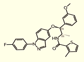 COc1cccc([C@H](Oc2ccc3c(cnn3-c3ccc(F)cc3)c2)[C@H](C)NC(=O)c2sccc2C)c1